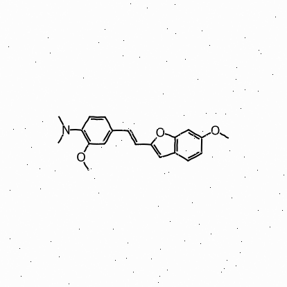 COc1ccc2cc(C=Cc3ccc(N(C)C)c(OC)c3)oc2c1